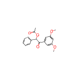 COc1cc(OC)cc(C(=O)C(OC(C)=O)c2ccccc2)c1